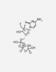 Nc1ccn([C@@H]2O[C@H](COP(=O)(O)OP(=O)(O)OP(=O)(O)O)C(O)[C@]2(F)CF)c(=S)n1